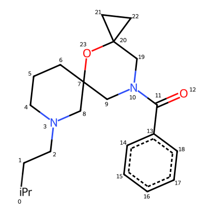 CC(C)CCN1CCCC2(C1)CN(C(=O)c1ccccc1)CC1(CC1)O2